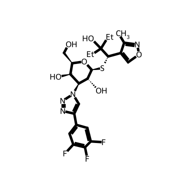 CCC(O)(CC)[C@@H](S[C@@H]1O[C@H](CO)[C@H](O)[C@H](n2cc(-c3cc(F)c(F)c(F)c3)nn2)[C@H]1O)c1conc1C